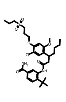 CCCCC(CC(=O)Nc1cc(C(N)=O)ccc1C(C)(C)C)c1cc(Cl)c(OCCCS(=O)(=O)CCC)cc1OC